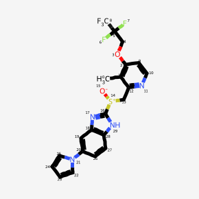 Cc1c(OCC(F)(F)C(F)(F)F)ccnc1C[S+]([O-])c1nc2cc(-n3cccc3)ccc2[nH]1